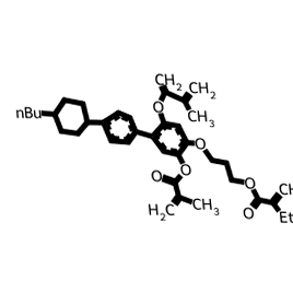 C=C(C)C(=C)Oc1cc(OCCCOC(=O)C(=C)CC)c(OC(=O)C(=C)C)cc1-c1ccc(C2CCC(CCCC)CC2)cc1